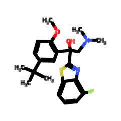 COc1ccc(C(C)(C)C)cc1C(O)(CN(C)C)c1nc2c(F)cccc2s1